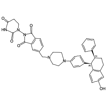 O=C1CCN(N2C(=O)c3ccc(CN4CCN(c5ccc([C@@H]6c7ccc(O)cc7CC[C@@H]6c6ccccc6)cc5)CC4)cc3C2=O)C(=O)N1